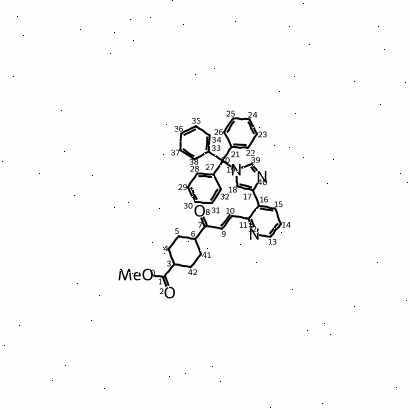 COC(=O)C1CCC(C(=O)/C=C/c2ncccc2-c2cn(C(c3ccccc3)(c3ccccc3)c3ccccc3)cn2)CC1